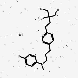 CN(CCCc1ccc(CCC(N)(CO)CO)cc1)c1ccc(F)cc1.Cl